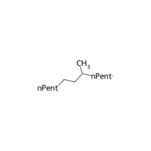 CCCC[CH]C(C)CCCCCCC